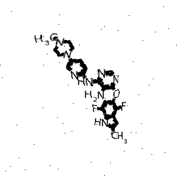 Cc1cc2c(F)c(Oc3ncnc(Nc4ccc(N5CCN(C)CC5)cn4)c3N)cc(F)c2[nH]1